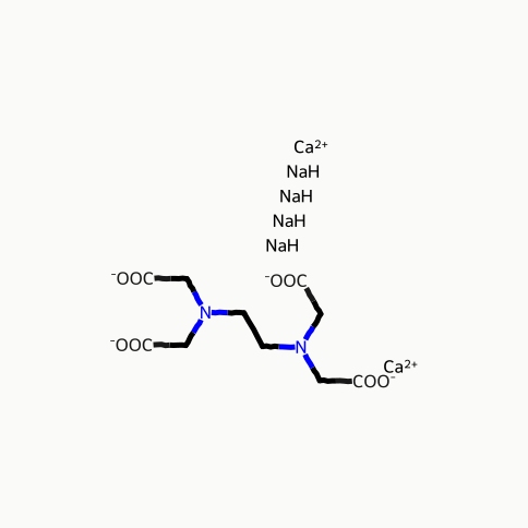 O=C([O-])CN(CCN(CC(=O)[O-])CC(=O)[O-])CC(=O)[O-].[Ca+2].[Ca+2].[NaH].[NaH].[NaH].[NaH]